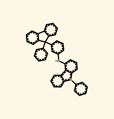 c1ccc(-n2c3ccccc3c3c(Nc4cccc(C5(c6ccccc6)c6ccccc6-c6ccccc65)c4)cccc32)cc1